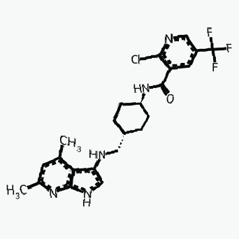 Cc1cc(C)c2c(NC[C@H]3CC[C@H](NC(=O)c4cc(C(F)(F)F)cnc4Cl)CC3)c[nH]c2n1